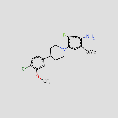 COc1cc(N2CCC(c3ccc(Cl)c(OC(F)(F)F)c3)CC2)c(F)cc1N